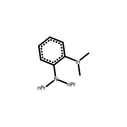 CCCN(CCC)c1cccc[c]1[In]([CH3])[CH3]